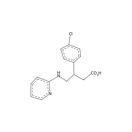 O=C(O)CC(CNc1ccccn1)c1ccc(Cl)cc1